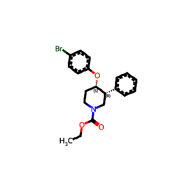 CCOC(=O)N1CC[C@H](Oc2ccc(Br)cc2)[C@H](c2ccccc2)C1